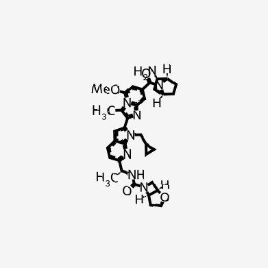 COc1cc(C(=O)N2[C@H]3CC[C@@H]2[C@H](N)C3)cc2nc(-c3cc4ccc([C@@H](C)NC(=O)N5C[C@H]6OCC[C@H]65)nc4n3CC3CC3)c(C)n12